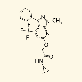 Cn1nc(-c2ccccc2)c2c(C(F)(F)F)cc(OCC(=O)NC3CC3)nc21